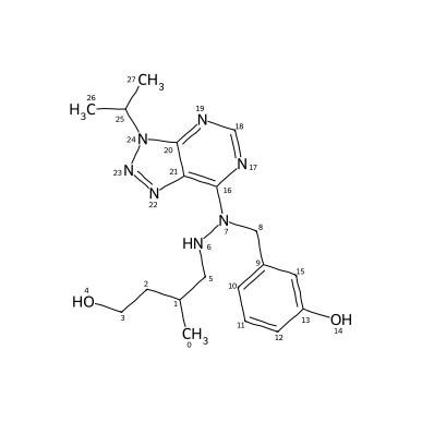 CC(CCO)CNN(Cc1cccc(O)c1)c1ncnc2c1nnn2C(C)C